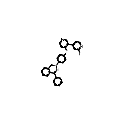 Fc1cc(-c2cnccc2Oc2ccc(N3Cc4ccccc4C(c4ccccc4)=N3)cc2)ccn1